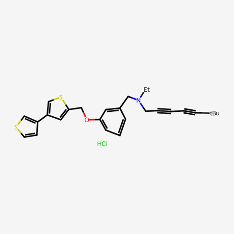 CCN(CC#CC#CC(C)(C)C)Cc1cccc(OCc2cc(-c3ccsc3)cs2)c1.Cl